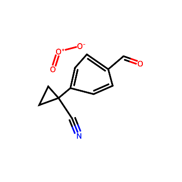 N#CC1(c2ccc(C=O)cc2)CC1.O=[O+][O-]